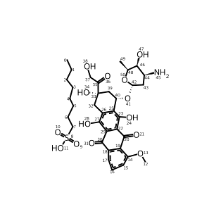 CCCCCCCCS(=O)(=O)O.COc1cccc2c1C(=O)c1c(O)c3c(c(O)c1C2=O)C[C@@](O)(C(=O)CO)C[C@@H]3O[C@H]1C[C@H](N)[C@H](O)[C@H](C)O1